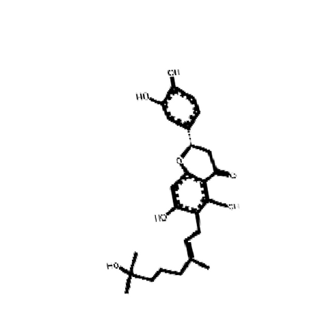 C/C(=C\Cc1c(O)cc2c(c1O)C(=O)C[C@@H](c1ccc(O)c(O)c1)O2)CCCC(C)(C)O